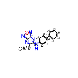 COc1nc2nonc2nc1Nc1ccc(-c2ccccc2)cc1